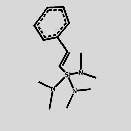 CN(C)[Si](/C=C/c1ccccc1)(N(C)C)N(C)C